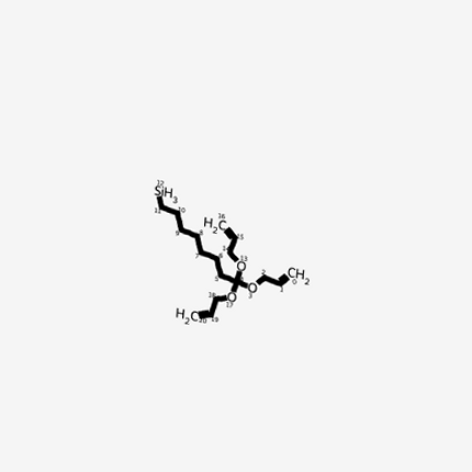 C=CCOC(CCCCCCC[SiH3])(OCC=C)OCC=C